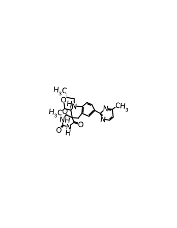 Cc1ccnc(-c2ccc3c(c2)CC2(C(=O)NC(=O)NC2=O)[C@H]2[C@H](C)O[C@H](C)CN32)n1